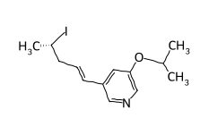 CC(C)Oc1cncc(/C=C/C[C@H](C)I)c1